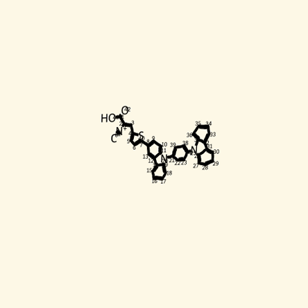 [C-]#[N+]/C(=C\c1ccc(-c2ccc3c(c2)c2ccccc2n3-c2ccc(-n3c4ccccc4c4ccccc43)cc2)s1)C(=O)O